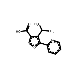 CC(C)c1c(C(=O)O)noc1-c1ccccn1